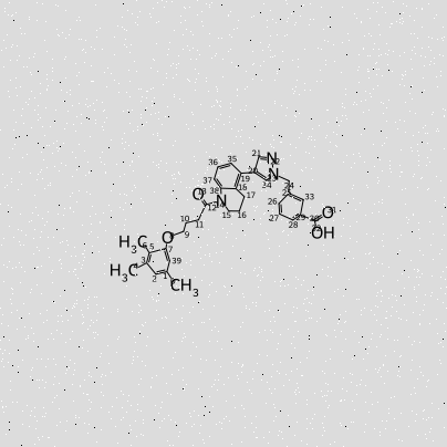 Cc1cc(C)c(C)c(OCCCC(=O)N2CCCc3c(-c4cnn(Cc5cccc(C(=O)O)c5)c4)cccc32)c1